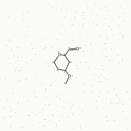 COC1CCOC([C]=O)C1